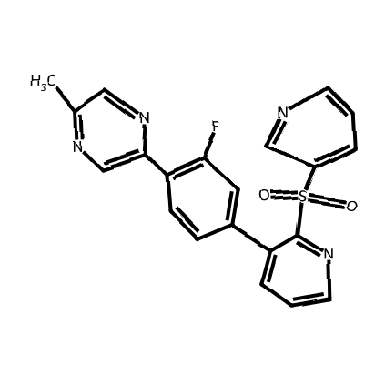 Cc1cnc(-c2ccc(-c3cccnc3S(=O)(=O)c3cccnc3)cc2F)cn1